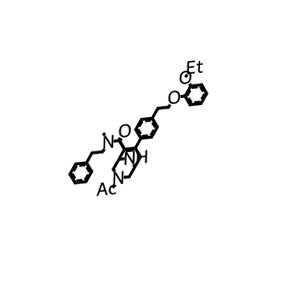 CCOc1ccccc1OCCc1ccc(C2=C(C(=O)N(C)CCc3ccccc3)C3CN(C(C)=O)CC(C2)N3)cc1